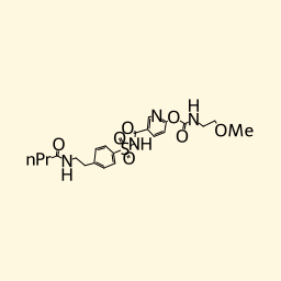 CCCC(=O)NCCc1ccc(S(=O)(=O)NC(=O)c2ccc(OC(=O)NCCOC)nc2)cc1